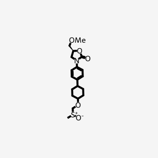 COC[C@@H]1CN(c2ccc(C3CCC(OC[S+](C)[O-])CC3)cc2)C(=O)O1